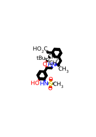 CC(Cc1cccc(CC(=O)O)c1)NCC(O[Si](C)(C)C(C)(C)C)c1ccc(O)c(NS(C)(=O)=O)c1